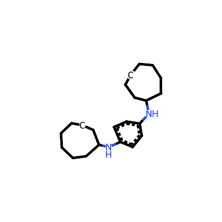 c1cc(NC2CCCCCCC2)ccc1NC1CCCCCCC1